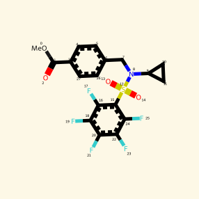 COC(=O)c1ccc(CN(C2CC2)S(=O)(=O)c2c(F)c(F)c(F)c(F)c2F)cc1